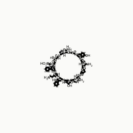 CCCC[C@H]1C(=O)N(C)[C@@H](CCCC)C(=O)N[C@@H](CC(C)C)C(=O)N[C@H](C(N)=O)CNCC(=O)N[C@@H](Cc2ccc(O)cc2)C(=O)N(C)[C@@H](C)C(=O)N[C@@H](CC(N)=O)C(=O)N2CCC[C@H]2C(=O)N[C@@H](CN)C(=O)N[C@@H](CC(C)C)C(=O)N2C[C@H](O)C[C@H]2C(=O)N[C@@H](Cc2c[nH]c3ccccc23)C(=O)N[C@@H](CCCCN)C(=O)N[C@@H](Cc2cn(CC(=O)O)c3ccccc23)C(=O)N1C